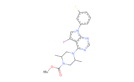 CC1CN(c2ncnc3c2c(I)cn3-c2cccc(F)c2)C(C)CN1C(=O)OC(C)(C)C